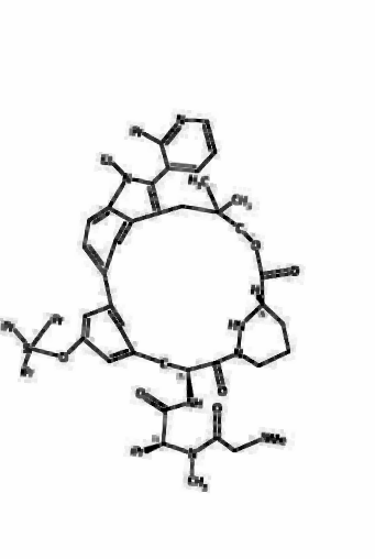 CCn1c(-c2cccnc2C(C)C)c2c3cc(ccc31)-c1cc(cc(O[Si](C(C)C)(C(C)C)C(C)C)c1)C[C@H](NC(=O)[C@H](C(C)C)N(C)C(=O)CNC)C(=O)N1CCC[C@H](N1)C(=O)OCC(C)(C)C2